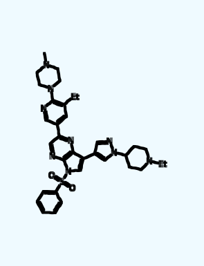 CCc1cc(-c2cnc3c(n2)c(-c2cnn(C4CCN(CC)CC4)c2)cn3S(=O)(=O)c2ccccc2)cnc1N1CCN(C)CC1